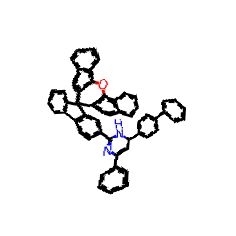 C1=C(c2ccccc2)N=C(c2ccc3c(c2)C2(c4ccccc4-3)c3ccc4ccccc4c3Oc3c2ccc2ccccc32)NC1c1ccc(-c2ccccc2)cc1